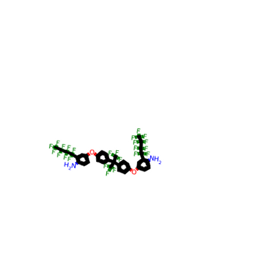 Nc1ccc(Oc2ccc(C(c3ccc(Oc4ccc(N)c(C(F)(F)C(F)(F)C(F)(F)C(F)(F)F)c4)cc3)(C(F)(F)F)C(F)(F)F)cc2)cc1C(F)(F)C(F)(F)C(F)(F)C(F)(F)F